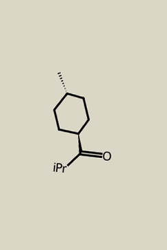 CC(C)C(=O)[C@H]1CC[C@H](C)CC1